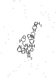 CCc1cc(Nc2nc(CC3CCOCC34CC4)c(-c3ncccc3C)nc2C(N)=O)ccc1N1CCC(N2CCN(C)CC2)CC1